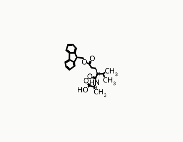 CC(C)[C@H](CCC(=O)OCC1c2ccccc2-c2ccccc21)C(=O)N[C@@H](C)C(=O)O